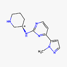 Cn1nccc1-c1ccnc(N[C@@H]2CCCNC2)n1